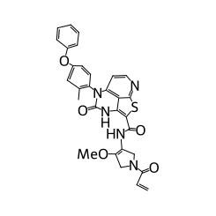 C=CC(=O)N1CC(NC(=O)c2sc3nccc4c3c2NC(=O)N4c2ccc(Oc3ccccc3)cc2C)=C(OC)C1